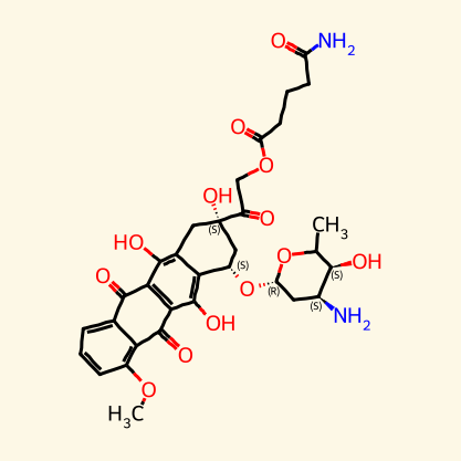 COc1cccc2c1C(=O)c1c(O)c3c(c(O)c1C2=O)C[C@@](O)(C(=O)COC(=O)CCCC(N)=O)C[C@@H]3O[C@H]1C[C@H](N)[C@H](O)C(C)O1